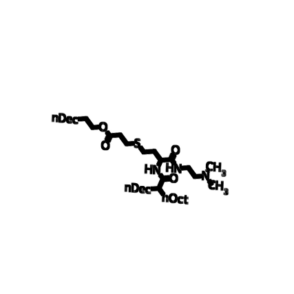 CCCCCCCCCCCCOC(=O)CCSCCC(NC(=O)C(CCCCCCCC)CCCCCCCCCC)C(=O)NCCN(C)C